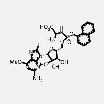 COc1nc(N)nc2c1nc(I)n2[C@@H]1O[C@H](COP(=O)(NC(C)C(=O)O)Oc2cccc3ccccc23)[C@@H](O)[C@@]1(C)O